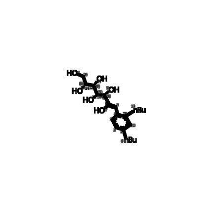 CCCCc1ccc(C=C(O)[C@H](O)[C@@H](O)[C@H](O)[C@H](O)CO)c(CCCC)c1